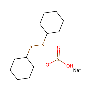 C1CCC(SSC2CCCCC2)CC1.O=S([O-])O.[Na+]